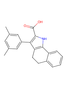 Cc1cc(C)cc(-c2c(C(=O)O)[nH]c3c2CCc2ccccc2-3)c1